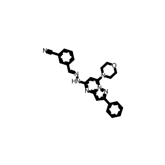 N#Cc1cccc(C=NNc2cc(N3CCOCC3)n3nc(-c4ccccc4)cc3n2)c1